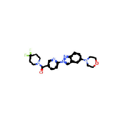 O=C(c1ccc(-n2cc3cc(N4CCOCC4)ccc3n2)nc1)N1CCC(F)(F)CC1